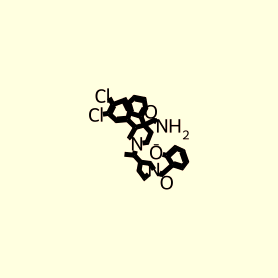 COc1ccccc1C(=O)N1CCC(C(C)N2CCC(C(N)=O)(c3ccccc3)C(c3ccc(Cl)c(Cl)c3)C2)C1